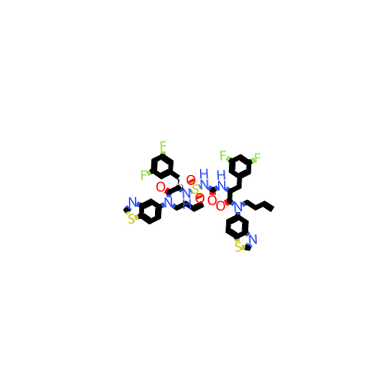 C=CCCN(C(=O)C(Cc1cc(F)cc(F)c1)NC(=O)NS(=O)(=O)N[C@@H](Cc1cc(F)cc(F)c1)C(=O)N(CCC=C)c1ccc2scnc2c1)c1ccc2scnc2c1